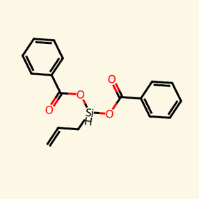 C=CC[SiH](OC(=O)c1ccccc1)OC(=O)c1ccccc1